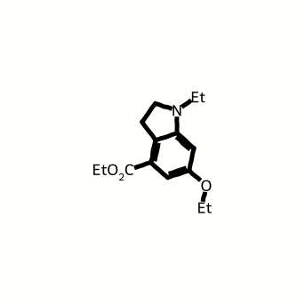 CCOC(=O)c1cc(OCC)cc2c1CCN2CC